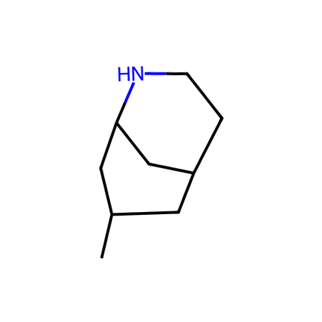 CC1CC2CCNC(C1)C2